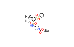 Cc1cc(S(=O)(=O)c2ccccc2)cc(S(=O)(=O)NC2CCN(C(=O)OC(C)(C)C)CC2)c1C